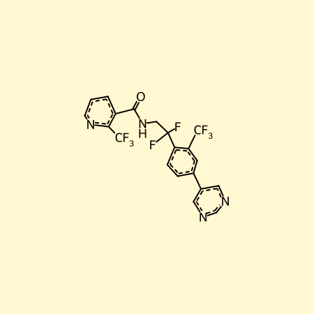 O=C(NCC(F)(F)c1ccc(-c2cncnc2)cc1C(F)(F)F)c1cccnc1C(F)(F)F